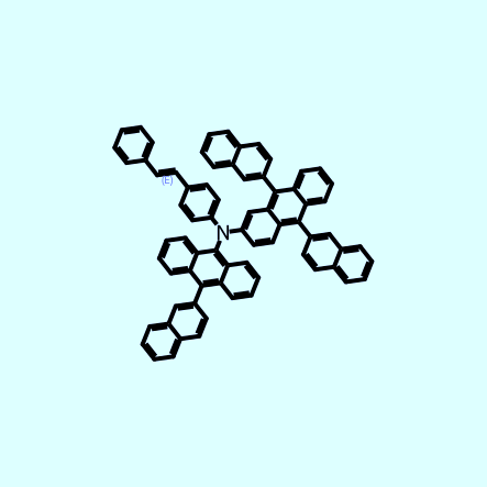 C(=C\c1ccc(N(c2ccc3c(-c4ccc5ccccc5c4)c4ccccc4c(-c4ccc5ccccc5c4)c3c2)c2c3ccccc3c(-c3ccc4ccccc4c3)c3ccccc23)cc1)/c1ccccc1